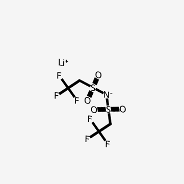 O=S(=O)(CC(F)(F)F)[N-]S(=O)(=O)CC(F)(F)F.[Li+]